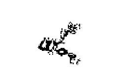 CCOc1ccc(-n2c([C@@H](C)NCCS(=O)(=O)CC)nc3ncccc3c2=O)cc1